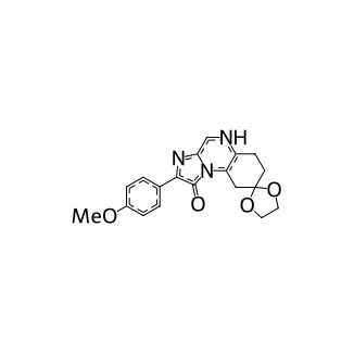 COc1ccc(-c2nc3c[nH]c4c(n-3c2=O)CC2(CC4)OCCO2)cc1